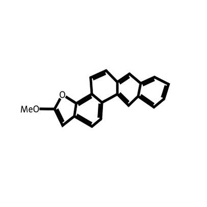 COc1cc2ccc3c4cc5ccccc5cc4ccc3c2o1